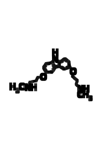 CNCCCOc1ccc2[nH]c3ccc(OCCCNC)cc3c2c1